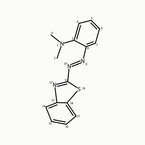 CN(C)c1ccccc1N=Nc1nc2ccccc2s1